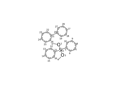 CO[Si](OC)(c1ccccc1)c1ccccc1.c1ccc(-c2ccccc2)cc1